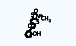 CCN1C(=O)SC(=Cc2ccc(-c3ccccc3O)o2)C1=S